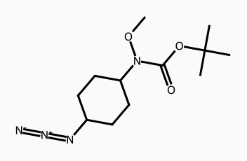 CON(C(=O)OC(C)(C)C)C1CCC(N=[N+]=[N-])CC1